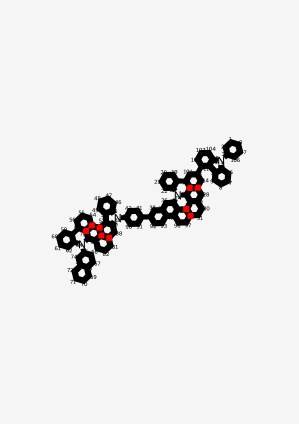 c1ccc(-n2c3ccccc3c3c(-c4cccc(-c5ccccc5N(c5cccc6ccccc56)c5cc6cc(-c7ccc(-n8c9ccccc9c9c(-c%10cccc(-c%11ccccc%11N(c%11ccc%12ccccc%12c%11)c%11cccc%12ccccc%11%12)c%10)cccc98)cc7)ccc6c6ccccc56)c4)cccc32)cc1